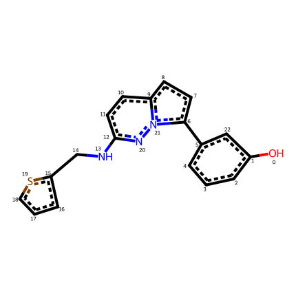 Oc1cccc(-c2ccc3ccc(NCc4cccs4)nn23)c1